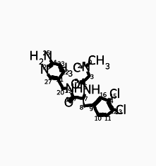 CN(C)CC(=O)N[C@@H](Cc1ccc(Cl)c(Cl)c1)C(=O)NCc1ccc(N)nc1